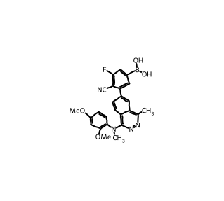 COc1ccc(N(C)c2nnc(C)c3cc(-c4cc(B(O)O)cc(F)c4C#N)ccc23)c(OC)c1